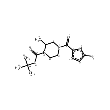 CC1CN(C(=O)c2nc(Br)cs2)CCN1C(=O)OC(C)(C)C